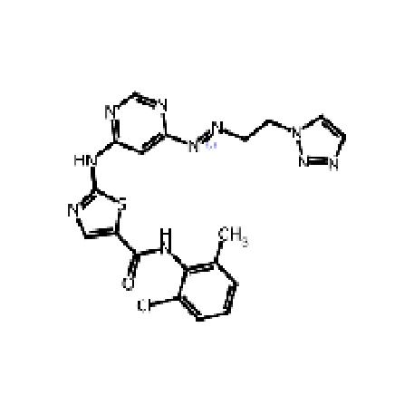 Cc1cccc(Cl)c1NC(=O)c1cnc(Nc2cc(/N=N/CCn3ccnn3)ncn2)s1